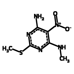 CNc1nc(SC)nc(N)c1[N+](=O)[O-]